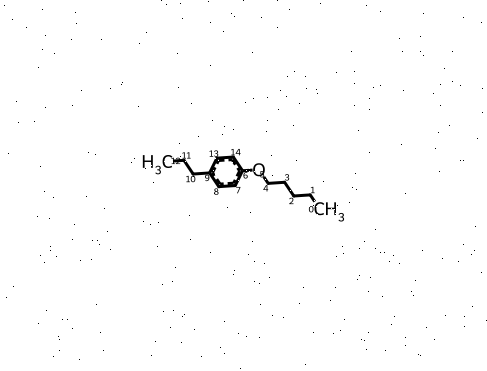 CCCCCOc1ccc(CCC)cc1